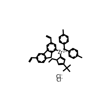 C=Cc1ccc2c(c1)-c1cc(C=C)c[c]([Zr+2]([C]3=CC(C(C)(C)C)=CC3CC)=[C](c3ccc(C)cc3)c3ccc(C)cc3)c1C2.[Cl-].[Cl-]